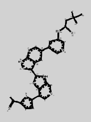 CC(=O)c1ccc(-c2cncc3[nH]c(-c4n[nH]c5ncc(-c6cncc(NC(O)CC(C)(C)C)c6)cc45)nc23)s1